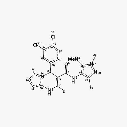 CNc1c(NC(=O)C2=C(C)Nc3ccnn3C2c2ccc(Cl)c(Cl)c2)c(C)nn1C